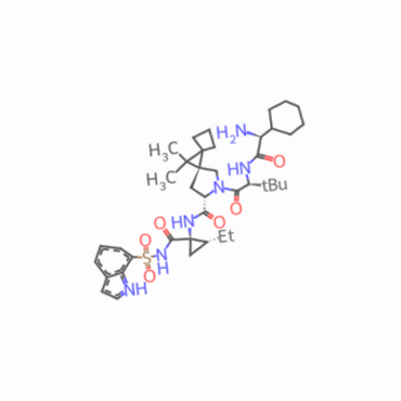 CC[C@@H]1C[C@]1(NC(=O)[C@@H]1C[C@@]2(CN1C(=O)[C@@H](NC(=O)[C@@H](N)C1CCCCC1)C(C)(C)C)C(C)(C)C21CCC1)C(=O)NS(=O)(=O)c1cccc2cc[nH]c12